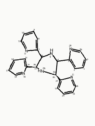 c1ccc(C2NC(c3ccccn3)[C@H](c3ccccn3)N[C@@H]2c2ccccn2)nc1